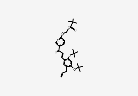 C=CCc1cc(C=CC(=O)c2ccc(OCOC(=O)C(C)(C)C)cc2)c(OC(C)(C)C)cc1OC(C)(C)C